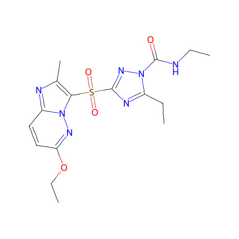 CCNC(=O)n1nc(S(=O)(=O)c2c(C)nc3ccc(OCC)nn23)nc1CC